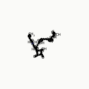 C#C[C@H]1CC(F)(F)CN1C(=O)CNC(=O)c1ccnc2ccc(OCCCCC3CCN(C(=O)C(O)CSCCNC(=O)C(CCCC/N=C(\C)NC(=O)CCCc4ccc(C)cc4)NC(=O)CN4CCN(COC=O)CCN(COC=O)CCN(CC(=O)O)CC4)CC3)cc12